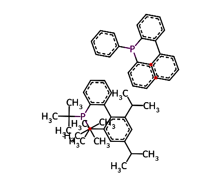 CC(C)c1cc(C(C)C)c(-c2ccccc2P(C(C)(C)C)C(C)(C)C)c(C(C)C)c1.c1ccc(-c2ccccc2P(c2ccccc2)c2ccccc2)cc1